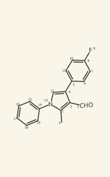 Cc1c(C=O)c(-c2ccc(F)cc2)cn1-c1ccccc1